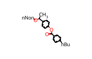 CCCCCCCCCOC(C)c1ccc(OC(=O)c2ccc(CCCC)cc2)cc1